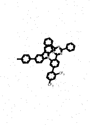 Cc1ccc(-c2ccc3c(c2)c2ccccc2n3-c2cc(-c3ccc(C(F)(F)F)cc3C(F)(F)F)ccc2-c2nc(-c3ccccc3)nc(-c3ccccc3)n2)cc1